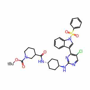 CC(C)(C)OC(=O)N1CCCC(C(=O)N[C@H]2CC[C@H](Nc3ncc(Cl)c(-c4cn(S(=O)(=O)c5ccccc5)c5ccccc45)n3)CC2)C1